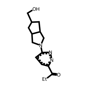 CCC(=O)c1ccc(N2CC3CC(CO)CC3C2)nn1